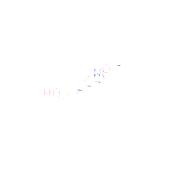 C=CCOc1ccc2cc(/C=C/CCCC(C)O)ccc2n1